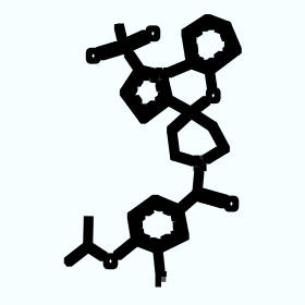 CC(C)Oc1ccc(C(=O)N2CCC3(CC2)Oc2ccccc2-n2c3ccc2S(C)(=O)=O)cc1F